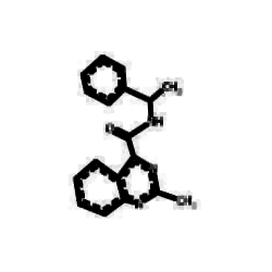 Cc1nc(C(=O)NC(C)c2ccccc2)c2ccccc2n1